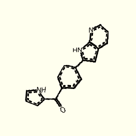 O=C(c1ccc(-c2cc3cccnc3[nH]2)cc1)c1ccc[nH]1